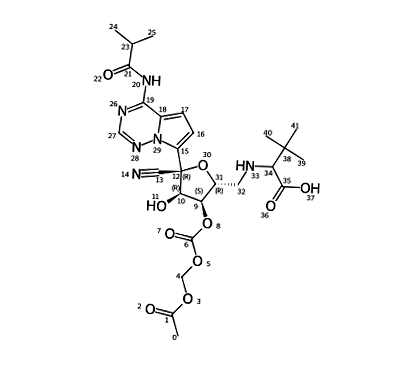 CC(=O)OCOC(=O)O[C@H]1[C@@H](O)[C@](C#N)(c2ccc3c(NC(=O)C(C)C)ncnn23)O[C@@H]1CNC(C(=O)O)C(C)(C)C